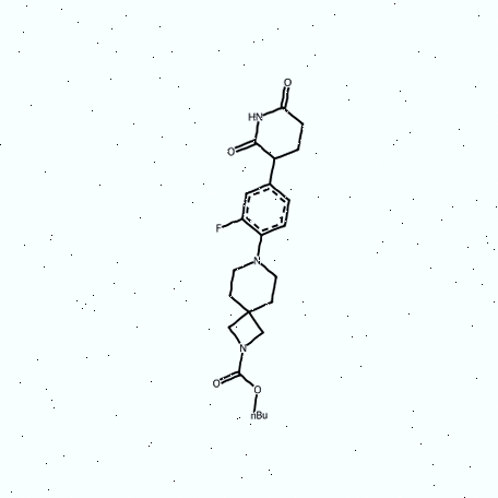 CCCCOC(=O)N1CC2(CCN(c3ccc(C4CCC(=O)NC4=O)cc3F)CC2)C1